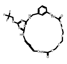 O=C1CCCCCCCCC(=O)NCc2cccc(c2)CNc2nc(nc(OCC(F)(F)F)n2)Nc2ccc(cc2)CN1